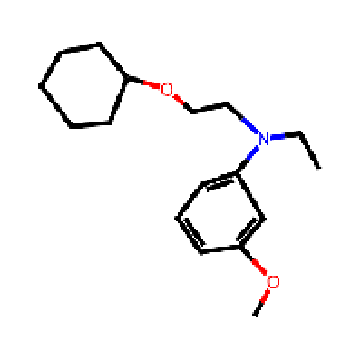 CCN(CCOC1CCCCC1)c1cccc(OC)c1